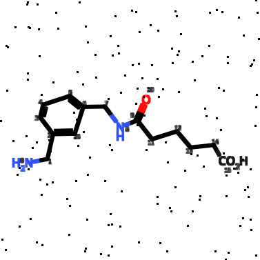 NCc1cccc(CNC(=O)CCCCC(=O)O)c1